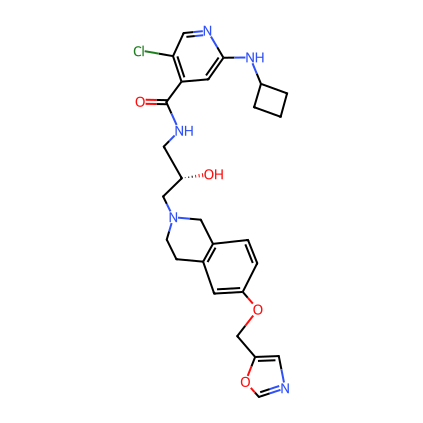 O=C(NC[C@H](O)CN1CCc2cc(OCc3cnco3)ccc2C1)c1cc(NC2CCC2)ncc1Cl